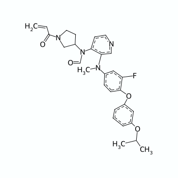 C=CC(=O)N1CCC(N(C=O)c2ccncc2N(C)c2ccc(Oc3cccc(OC(C)C)c3)c(F)c2)C1